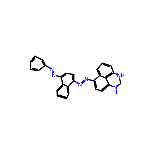 c1ccc(N=Nc2ccc(N=Nc3ccc4c5c(cccc35)NCN4)c3ccccc23)cc1